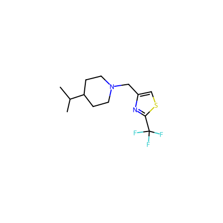 CC(C)C1CCN(Cc2csc(C(F)(F)F)n2)CC1